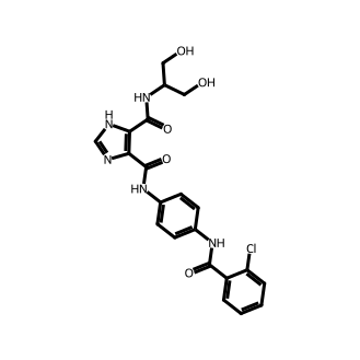 O=C(Nc1ccc(NC(=O)c2nc[nH]c2C(=O)NC(CO)CO)cc1)c1ccccc1Cl